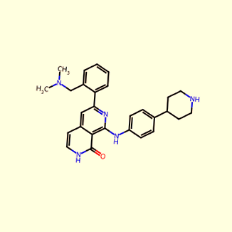 CN(C)Cc1ccccc1-c1cc2cc[nH]c(=O)c2c(Nc2ccc(C3CCNCC3)cc2)n1